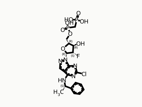 C[C@H](Nc1nc(Cl)nc2c1cnn2[C@@H]1O[C@H](COP(=O)(O)CP(=O)(O)O)[C@@H](O)[C@@H]1F)c1ccccc1